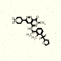 Cc1c([C@@H](C)Nc2nn(C)c(=O)c3nnc(C4CCS(=O)(=O)CC4)cc23)cccc1C(F)(F)C1CCCO1